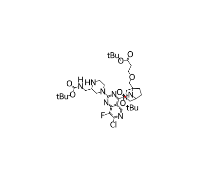 CC(C)(C)OC(=O)CCOCC12CCC(CN(c3nc(N4CCNC(CNC(=O)OC(C)(C)C)C4)nc4c(F)c(Cl)ncc34)C1)N2C(=O)OC(C)(C)C